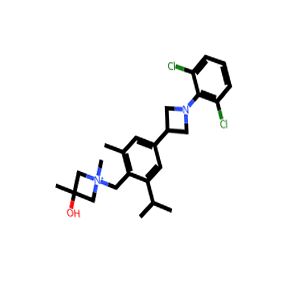 Cc1cc(C2CN(c3c(Cl)cccc3Cl)C2)cc(C(C)C)c1C[N+]1(C)CC(C)(O)C1